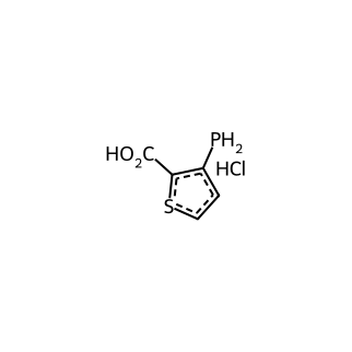 Cl.O=C(O)c1sccc1P